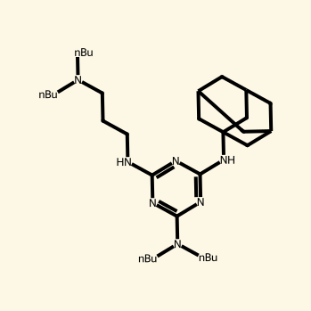 CCCCN(CCCC)CCCNc1nc(NC23CC4CC(CC(C4)C2)C3)nc(N(CCCC)CCCC)n1